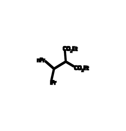 CCCC(C(C)C)C(C(=O)OCC)C(=O)OCC